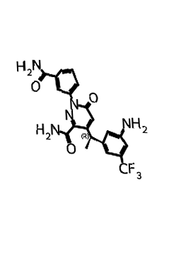 C[C@H](c1cc(N)cc(C(F)(F)F)c1)c1cc(=O)n(-c2cccc(C(N)=O)c2)nc1C(N)=O